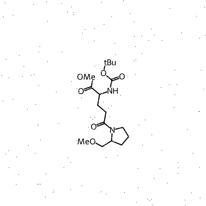 COCC1CCCN1C(=O)CCC(NC(=O)OC(C)(C)C)C(=O)OC